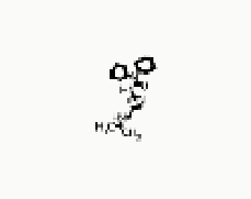 CC(C)NCc1cnc(NC(=O)N(C2CCCCC2)C2CCCCC2)s1